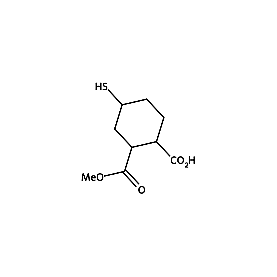 COC(=O)C1CC(S)CCC1C(=O)O